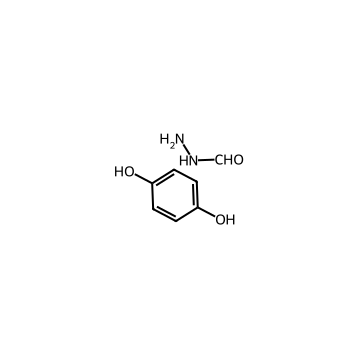 NNC=O.Oc1ccc(O)cc1